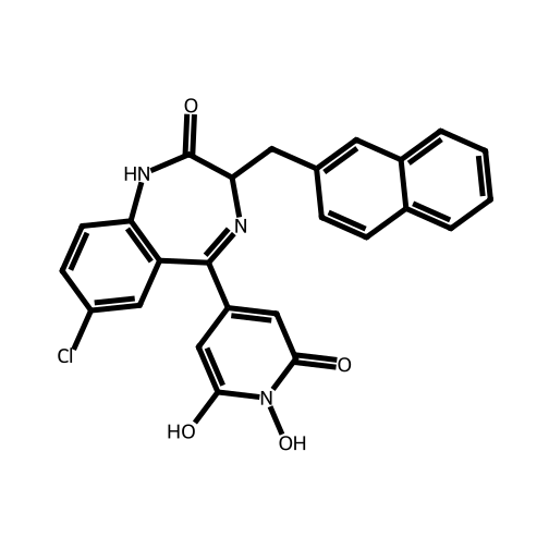 O=C1Nc2ccc(Cl)cc2C(c2cc(O)n(O)c(=O)c2)=NC1Cc1ccc2ccccc2c1